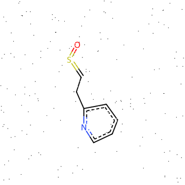 O=S=C[CH]c1ccccn1